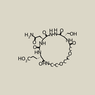 NC(=O)C[C@@H]1NC(=O)N[C@@H](CCC(=O)O)C(=O)NCCOCCOCC(=O)N[C@@H](CO)C(=O)NNC1=O